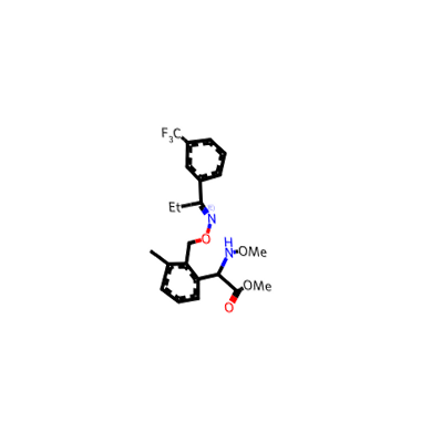 CC/C(=N\OCc1c(C)cccc1C(NOC)C(=O)OC)c1cccc(C(F)(F)F)c1